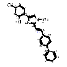 CCCCn1cc(-c2ccc(Cl)cc2Cl)nc1/C=C/c1ccc(-c2ccccc2)cc1